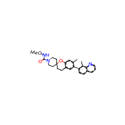 CONC(=O)N1CCC2(CCc3cc(-c4ccc5cccnc5c4C)c(C)cc3O2)CC1